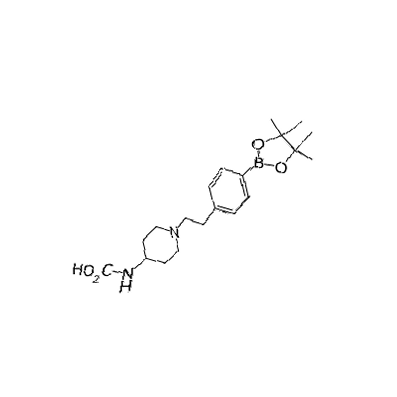 CC1(C)OB(c2ccc(CCN3CCC(NC(=O)O)CC3)cc2)OC1(C)C